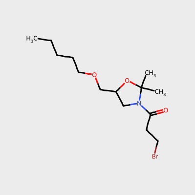 CCCCCOCC1CN(C(=O)CCBr)C(C)(C)O1